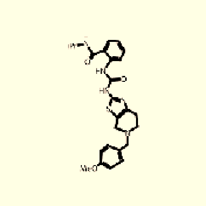 COc1ccc(CN2CCc3nc(NC(=O)Nc4ccccc4C(=O)NC(C)C)sc3C2)cc1